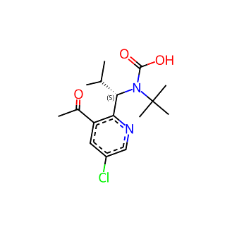 CC(=O)c1cc(Cl)cnc1[C@H](C(C)C)N(C(=O)O)C(C)(C)C